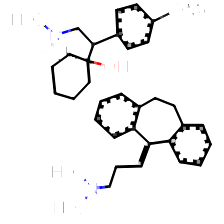 CN(C)CCC=C1c2ccccc2CCc2ccccc21.COc1ccc(C(CN(C)C)C2(O)CCCCC2)cc1